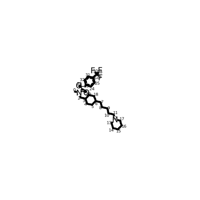 CN(CC1CCC(CCCCCN2CCCCC2)CC1)S(=O)(=O)c1ccc(C(F)(F)F)cc1